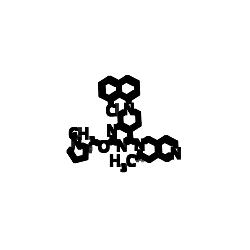 C[C@@H]1Cc2cnccc2CN1c1nc(OC[C@@H]2CCCN2C)nc2c1CCN(c1cccc3cccc(Cl)c13)C2